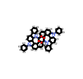 N#Cc1cc(-n2c3ccccc3c3ccc4c(c5c6ccccc6ccc5n4-c4ccccc4)c32)c(C#N)cc1-n1c2ccccc2c2ccc3c(c4c5ccccc5ccc4n3-c3ccccc3)c21